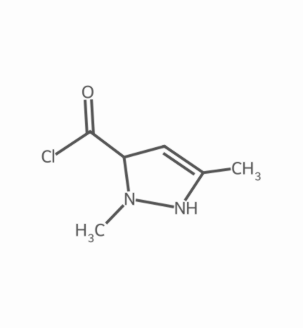 CC1=CC(C(=O)Cl)N(C)N1